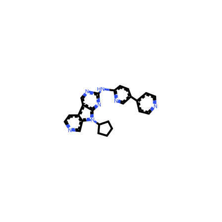 c1cc(-c2ccc(Nc3ncc4c5ccncc5n(C5CCCC5)c4n3)nc2)ccn1